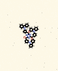 O=C(c1cccc(-n2c3ccccc3c3ccccc32)c1)c1nc(C(=O)c2cccc(-n3c4ccccc4c4ccccc43)c2)nc(C(=O)c2cccc(-n3c4ccccc4c4ccccc43)c2)n1